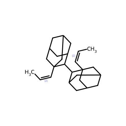 C/C=C\C12CC3CC(CC(C3)C1C1C3CC4CC(C3)CC1(/C=C\C)C4)C2